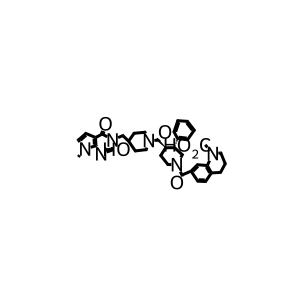 Cn1ccc2c(=O)n(CC3(O)CCN(C(=O)[C@@H]4CCN(C(=O)c5ccc6c(c5)N(C(=O)O)CCC6)C[C@H]4c4ccccc4)CC3)cnc21